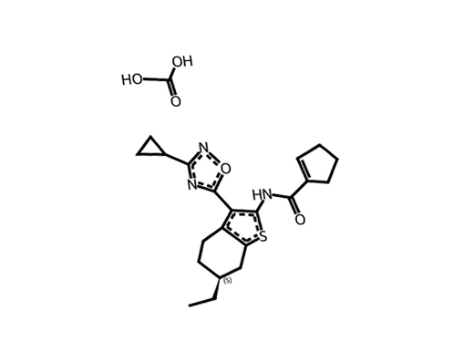 CC[C@H]1CCc2c(sc(NC(=O)C3=CCCC3)c2-c2nc(C3CC3)no2)C1.O=C(O)O